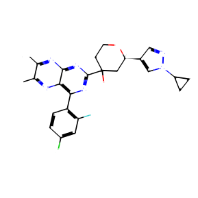 Cc1nc2nc(C3(O)CCO[C@@H](c4cnn(C5CC5)c4)C3)nc(-c3ccc(Cl)cc3F)c2nc1C